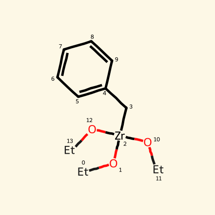 CC[O][Zr]([CH2]c1ccccc1)([O]CC)[O]CC